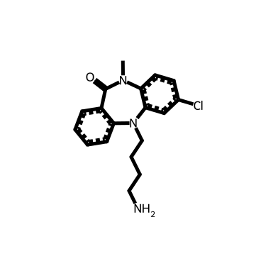 CN1C(=O)c2ccccc2N(CCCCN)c2cc(Cl)ccc21